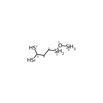 [SiH3]O[SiH2]CCC(S)S